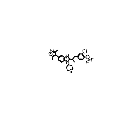 Cc1noc(C)c1-c1ccc2c(c1)nc(C(C)Cc1ccc(OC(F)F)c(Cl)c1)n2C1CCSCC1